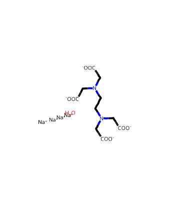 O.O=C([O-])CN(CCN(CC(=O)[O-])CC(=O)[O-])CC(=O)[O-].[Na+].[Na+].[Na+].[Na+]